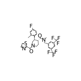 Cc1cc(F)ccc1[C@@H]1CN(C(=O)c2nccs2)CC[C@H]1C(=O)N(C)Cc1cc(C(F)(F)F)cc(C(F)(F)F)c1